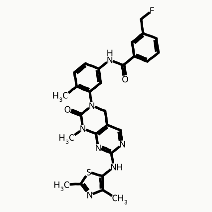 Cc1nc(C)c(Nc2ncc3c(n2)N(C)C(=O)N(c2cc(NC(=O)c4cccc(CF)c4)ccc2C)C3)s1